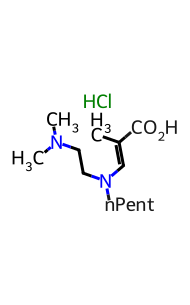 CCCCCN(C=C(C)C(=O)O)CCN(C)C.Cl